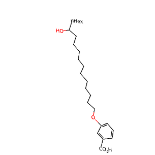 CCCCCCC(O)CCCCCCCCCCCOc1cccc(C(=O)O)c1